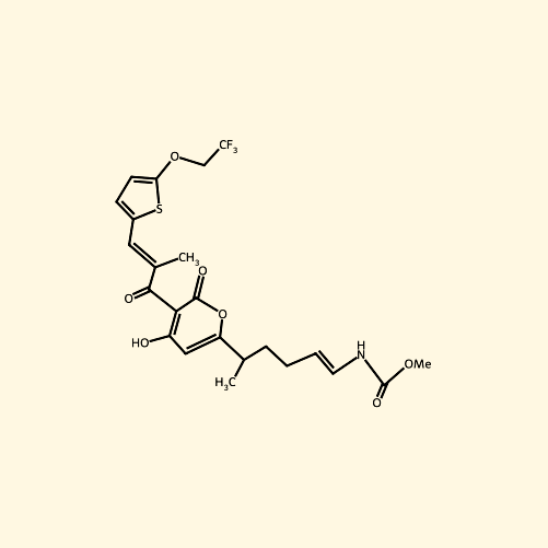 COC(=O)N/C=C/CCC(C)c1cc(O)c(C(=O)/C(C)=C/c2ccc(OCC(F)(F)F)s2)c(=O)o1